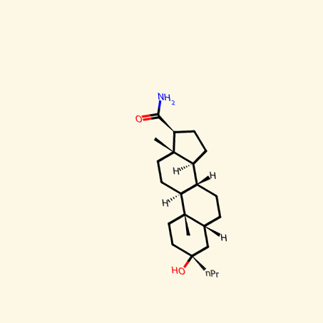 CCC[C@@]1(O)CC[C@@]2(C)[C@H](CC[C@@H]3[C@@H]2CC[C@]2(C)[C@@H](C(N)=O)CC[C@@H]32)C1